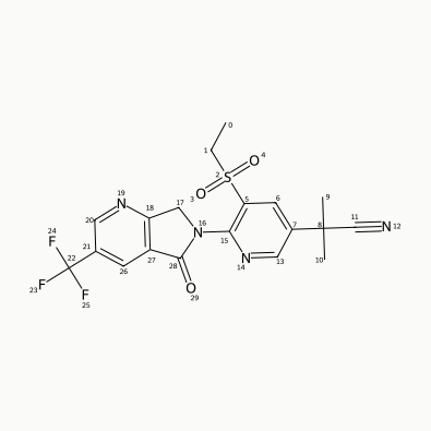 CCS(=O)(=O)c1cc(C(C)(C)C#N)cnc1N1Cc2ncc(C(F)(F)F)cc2C1=O